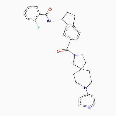 O=C(N[C@@H]1CCc2ccc(C(=O)N3CCC4(CCN(c5ccncc5)CC4)C3)cc21)c1ccccc1F